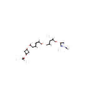 CC(COCC(C)CC(C)CC(C)OC1CC(OC(C)(C)C)C1)CC(C)COC1CN(C(C)(C)C)C1